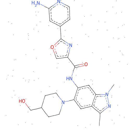 Cc1nn(C)c2cc(NC(=O)c3coc(-c4ccnc(N)c4)n3)c(N3CCC(CO)CC3)cc12